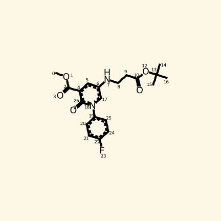 COC(=O)c1cc(NCCC(=O)OC(C)(C)C)cn(-c2ccc(F)cc2)c1=O